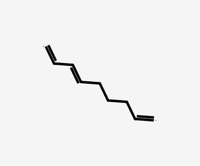 [CH]=C/C=C/CCCC=[CH]